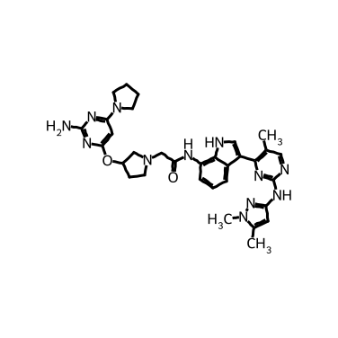 Cc1cnc(Nc2cc(C)n(C)n2)nc1-c1c[nH]c2c(NC(=O)CN3CCC(Oc4cc(N5CCCC5)nc(N)n4)C3)cccc12